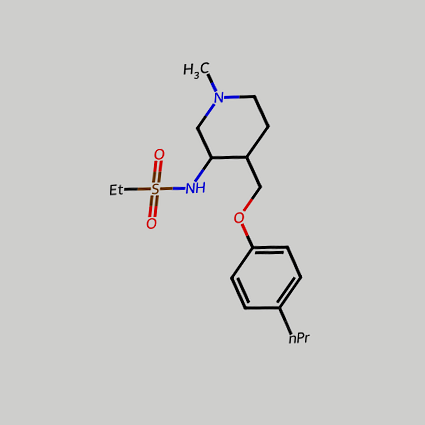 CCCc1ccc(OCC2CCN(C)CC2NS(=O)(=O)CC)cc1